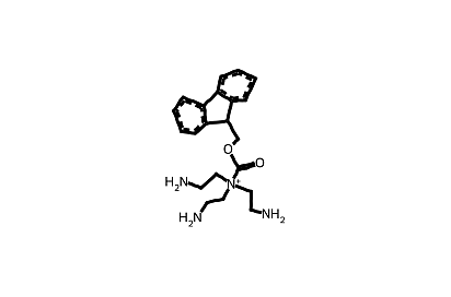 NCC[N+](CCN)(CCN)C(=O)OCC1c2ccccc2-c2ccccc21